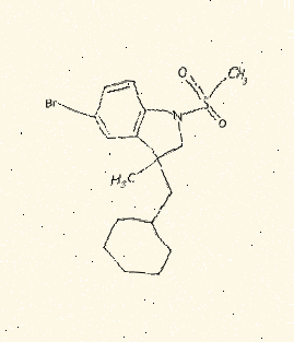 CC1(CC2CCCCC2)CN(S(C)(=O)=O)c2ccc(Br)cc21